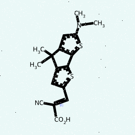 CN(C)c1cc2c(s1)-c1sc(/C=C(\C#N)C(=O)O)cc1C2(C)C